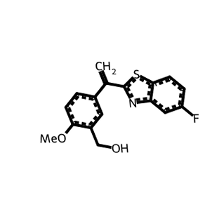 C=C(c1ccc(OC)c(CO)c1)c1nc2cc(F)ccc2s1